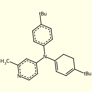 Cc1cc(N(C2=CC=C(C(C)(C)C)CC2)c2ccc(C(C)(C)C)cc2)ccn1